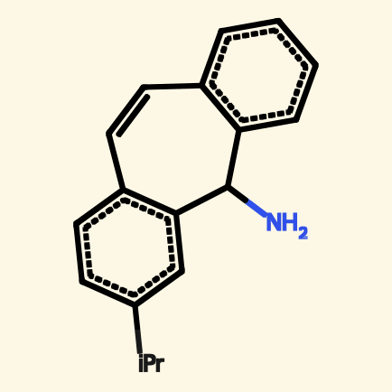 CC(C)c1ccc2c(c1)C(N)c1ccccc1C=C2